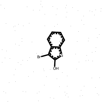 Oc1sc2ccccc2c1Br